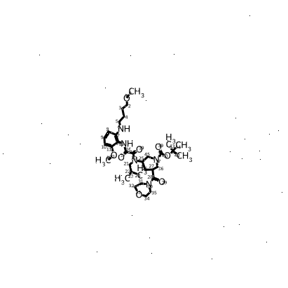 COCCCCNc1cccc(OC)c1NC(=O)C(=O)N(CC(C)C)C1CC(C(=O)N2CCOCC2)CN(C(=O)OC(C)(C)C)C1